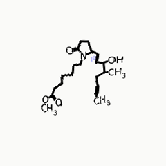 CC#CCC(C)C(O)/C=C/C1CCC(=O)N1CCCCCCC(=O)OC